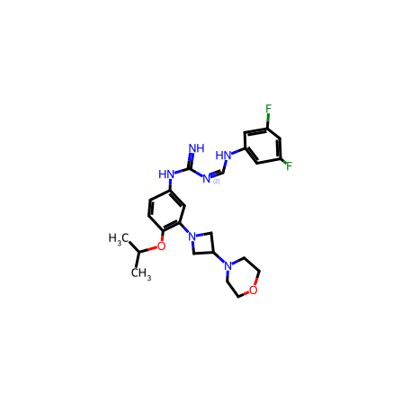 CC(C)Oc1ccc(NC(=N)/N=C\Nc2cc(F)cc(F)c2)cc1N1CC(N2CCOCC2)C1